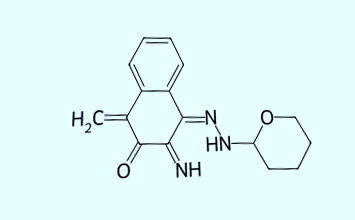 C=C1C(=O)C(=N)/C(=N\NC2CCCCO2)c2ccccc21